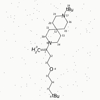 C=C(CCOCCCC(C)(C)C)N1CCC2(CC1)CCN(C(C)(C)C)CC2